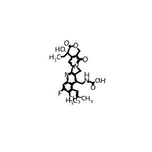 CC[C@@]1(O)C(=O)OCc2c1cc1n(c2=O)Cc2c-1nc1cc(F)c(C)c(C=C(C)C)c1c2CNC(=O)O